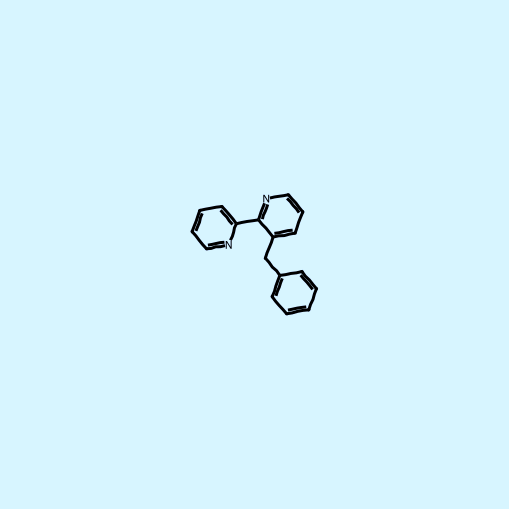 c1ccc(Cc2cccnc2-c2ccccn2)cc1